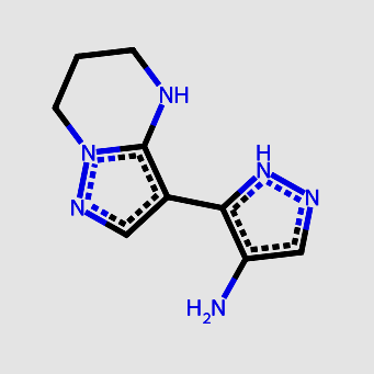 Nc1cn[nH]c1-c1cnn2c1NCCC2